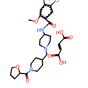 COc1cc(N)c(Cl)cc1C(=O)NC1CCN(CC2CCN(C(=O)C3CCCO3)CC2)CC1.O=C(O)C=CC(=O)O